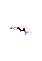 BNC(=O)CCC(=O)O